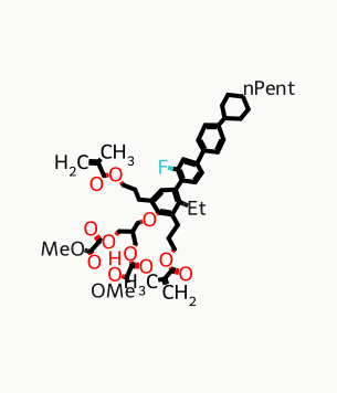 C=C(C)C(=O)OCCCc1cc(-c2ccc(-c3ccc(C4CCC(CCCCC)CC4)cc3)cc2F)c(CC)c(CCCOC(=O)C(=C)C)c1OCC(COC(=O)C(=O)OC)COC(=O)C(O)OC